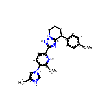 COc1ccc(C2CCCn3nc(-c4ccc(-n5cnc(C)c5)c(OC)n4)nc32)cc1